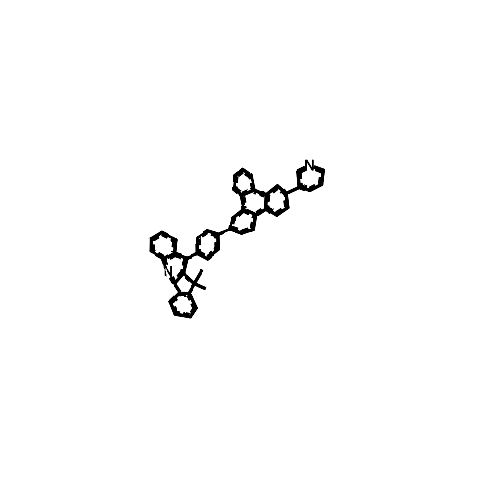 CC1(C)c2ccccc2-c2nc3ccccc3c(-c3ccc(-c4ccc5c6ccc(-c7cccnc7)cc6c6ccccc6c5c4)cc3)c21